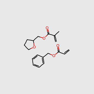 C=C(C)C(=O)OCC1CCCO1.C=CC(=O)OCc1ccccc1